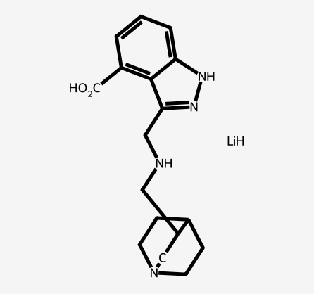 O=C(O)c1cccc2[nH]nc(CNCC3CN4CCC3CC4)c12.[LiH]